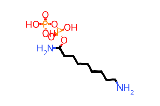 NCCCCCCCCC(N)OP(=O)(O)OP(=O)(O)O